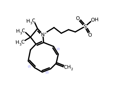 C=C1/C=C\C=C/CC2=C(/C=C\1)[N+](CCCCS(=O)(=O)O)=C(C)C2(C)C